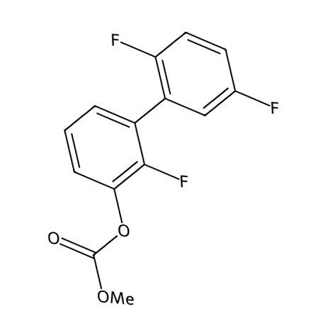 COC(=O)Oc1cccc(-c2cc(F)ccc2F)c1F